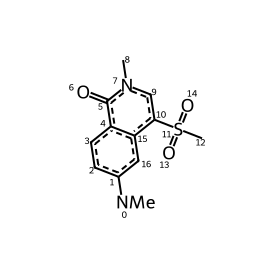 CNc1ccc2c(=O)n(C)cc(S(C)(=O)=O)c2c1